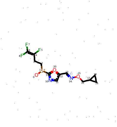 [O-][S+](CCC(F)=C(F)F)c1ncc(/C=N/OCC2CC2)o1